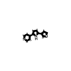 c1cc(-c2ccc(-c3ccoc3)[nH]2)ccn1